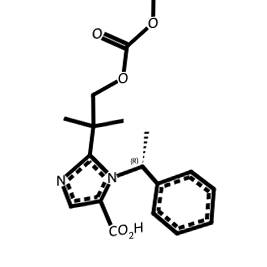 CC(C)OC(=O)OCC(C)(C)c1ncc(C(=O)O)n1[C@H](C)c1ccccc1